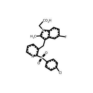 Cc1c(Cc2cccnc2S(=O)(=O)c2ccc(Cl)cc2)c2cc(F)ccc2n1CC(=O)O